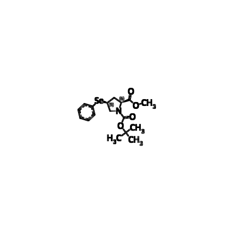 COC(=O)[C@@H]1C[C@H]([Se]c2ccccc2)CN1C(=O)OC(C)(C)C